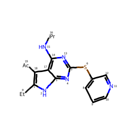 CCc1[nH]c2nc(Sc3cccnc3)nc(NC(C)C)c2c1C(C)=O